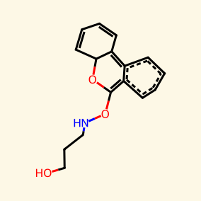 OCCCNOC1=c2ccccc2=C2C=CC=CC2O1